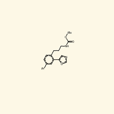 CC(C)c1ccc(CCCNC(=O)OC(C)(C)C)c(-c2cnco2)c1